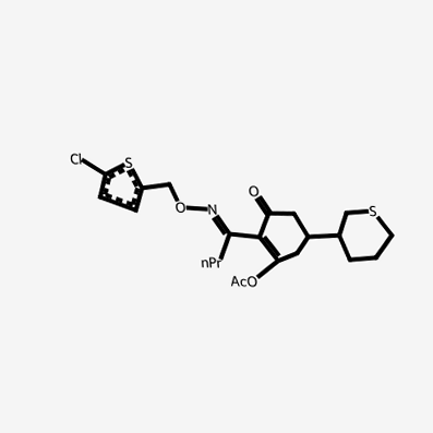 CCC/C(=N\OCc1ccc(Cl)s1)C1=C(OC(C)=O)CC(C2CCCSC2)CC1=O